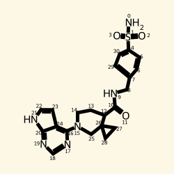 NS(=O)(=O)c1ccc(CNC(=O)C2CCN(c3ncnc4[nH]ccc34)CC23CC3)cc1